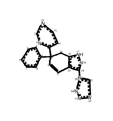 C1=CC(c2ccccc2)(c2ccncn2)Cc2[nH]nc(-n3cnnn3)c21